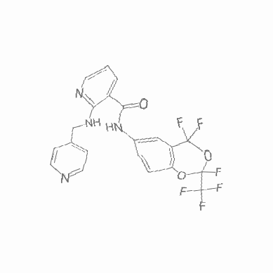 O=C(Nc1ccc2c(c1)C(F)(F)OC(F)(C(F)(F)F)O2)c1cccnc1NCc1ccncc1